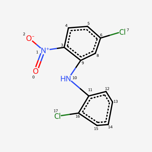 O=[N+]([O-])c1ccc(Cl)cc1Nc1ccccc1Cl